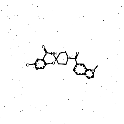 Cn1ccc2ccc(C(=O)N3CCC4(CC3)NC(=O)c3cc(Cl)ccc3O4)cc21